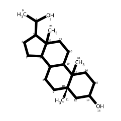 CC(O)C1CCC2C3CC[C@@]4(C)CC(O)CCC4(C)C3CCC12C